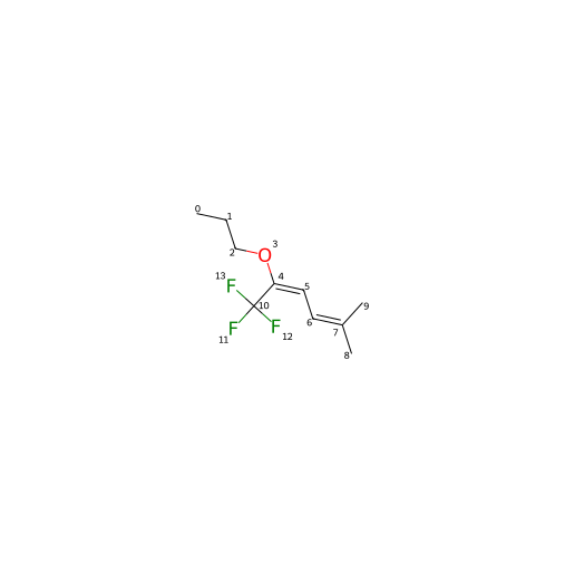 CCCOC(=CC=C(C)C)C(F)(F)F